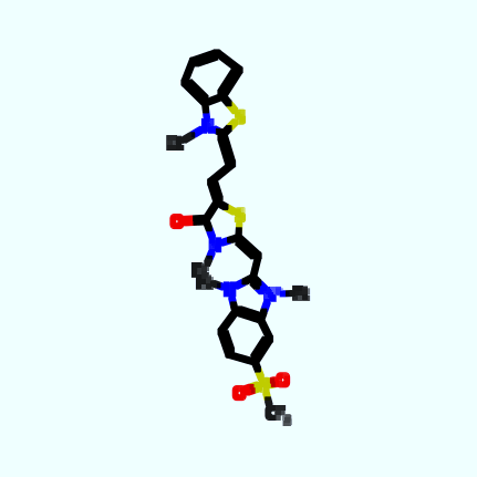 CCN1/C(=C\C=c2/s/c(=C/c3n(CC)c4ccc(S(=O)(=O)C(F)(F)F)cc4[n+]3CC)n(CC)c2=O)Sc2ccccc21